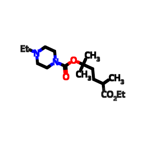 CCOC(=O)C(C)CCC(C)(C)OC(=O)N1CCN(CC)CC1